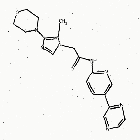 Cc1c(N2CCOCC2)ncn1CC(=O)Nc1ccc(-c2cnccn2)cn1